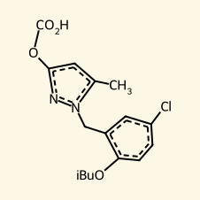 Cc1cc(OC(=O)O)nn1Cc1cc(Cl)ccc1OCC(C)C